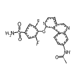 CC(=O)Nc1ccc2c(c1)ncc1ccnc(Oc3c(F)cc(S(N)(=O)=O)cc3F)c12